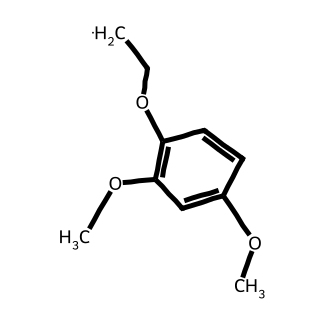 [CH2]COc1ccc(OC)cc1OC